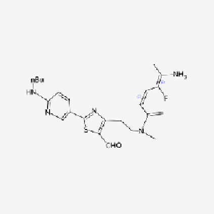 C=C(/C=C\C(F)=C(/C)N)N(C)CCc1nc(-c2ccc(NCCCC)nc2)sc1C=O